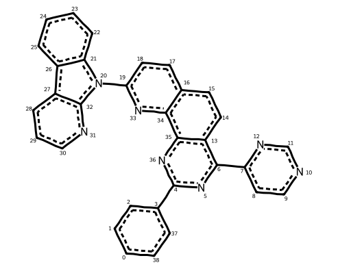 c1ccc(-c2nc(-c3ccncn3)c3ccc4ccc(-n5c6ccccc6c6cccnc65)nc4c3n2)cc1